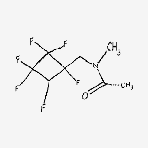 CC(=O)N(C)CC1(F)C(F)C(F)(F)C1(F)F